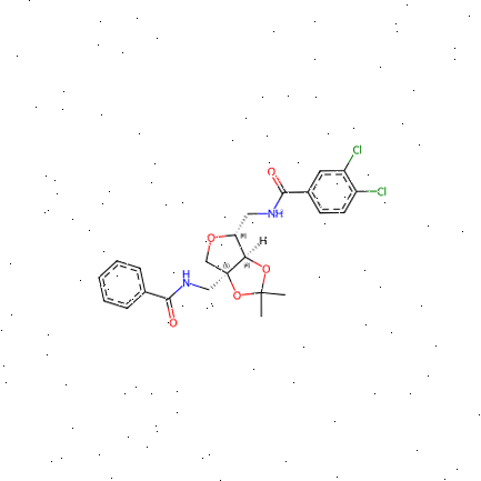 CC1(C)O[C@@H]2[C@@H](CNC(=O)c3ccc(Cl)c(Cl)c3)OC[C@]2(CNC(=O)c2ccccc2)O1